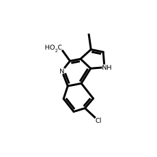 Cc1c[nH]c2c1c(C(=O)O)nc1ccc(Cl)cc12